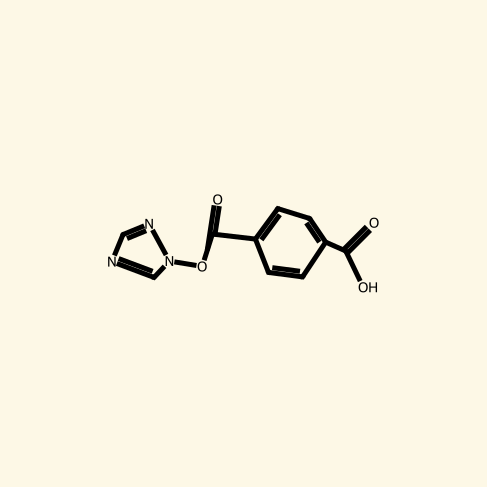 O=C(O)c1ccc(C(=O)On2cncn2)cc1